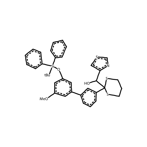 COc1cc(O[Si](c2ccccc2)(c2ccccc2)C(C)(C)C)cc(-c2cccc(C3(C(O)c4cscn4)SCCCS3)c2)c1